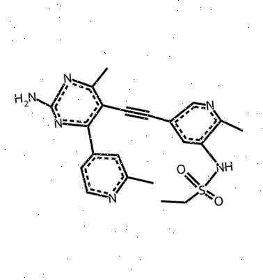 CCS(=O)(=O)Nc1cc(C#Cc2c(C)nc(N)nc2-c2ccnc(C)c2)cnc1C